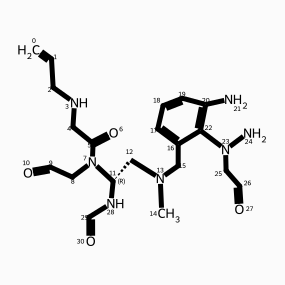 C=CCNCC(=O)N(CC=O)[C@H](CN(C)Cc1cccc(N)c1N(N)CC=O)NC=O